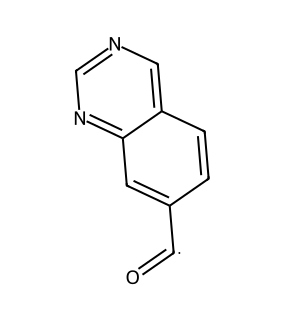 O=[C]c1ccc2cncnc2c1